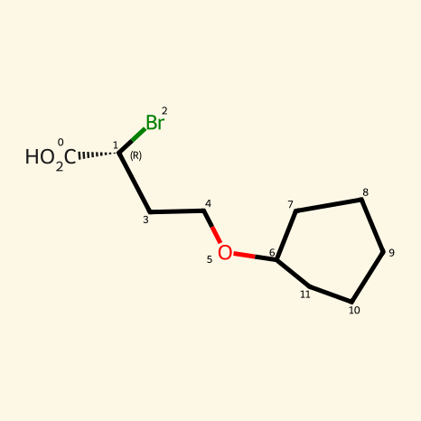 O=C(O)[C@H](Br)CCOC1CCCCC1